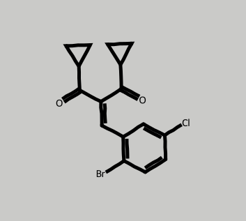 O=C(C(=Cc1cc(Cl)ccc1Br)C(=O)C1CC1)C1CC1